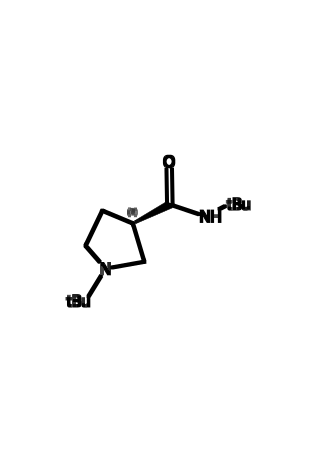 CC(C)(C)NC(=O)[C@@H]1CCN(C(C)(C)C)C1